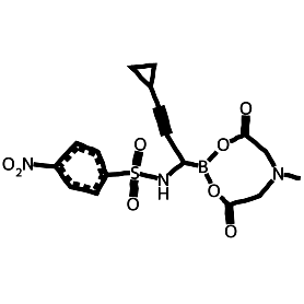 CN1CC(=O)OB(C(C#CC2CC2)NS(=O)(=O)c2ccc([N+](=O)[O-])cc2)OC(=O)C1